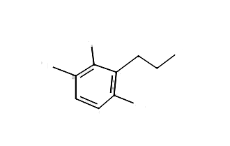 OCCc1c(Cl)ccc(F)c1Cl